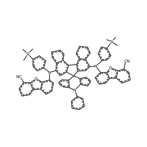 C[Si](C)(C)c1ccc(N(c2cc3c(c4ccccc24)-c2c(cc(N(c4ccc([Si](C)(C)C)cc4)c4cccc5c4oc4c(C#N)cccc45)c4ccccc24)C32c3ccccc3N(c3ccccc3)c3ccccc32)c2cccc3c2oc2c(C#N)cccc23)cc1